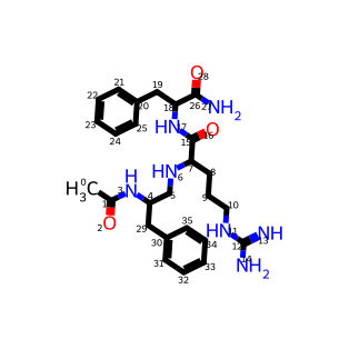 CC(=O)NC(CNC(CCCNC(=N)N)C(=O)NC(Cc1ccccc1)C(N)=O)Cc1ccccc1